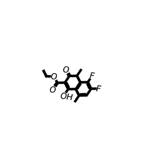 CCOC(=O)C1=C(O)c2c(C)cc(F)c(F)c2C(C)C1=O